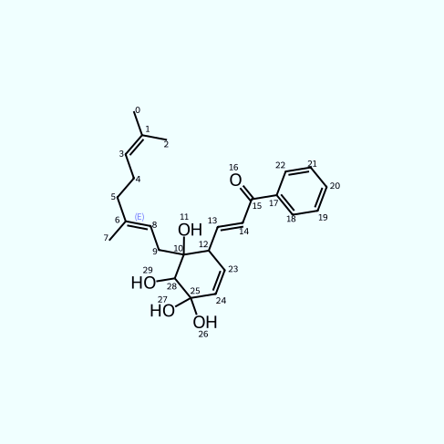 CC(C)=CCC/C(C)=C/CC1(O)C(C=CC(=O)c2ccccc2)C=CC(O)(O)C1O